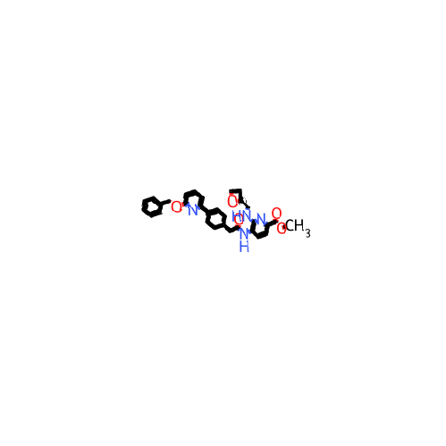 COC(=O)c1ccc(NC(=O)CC2CC=C(c3cccc(OCc4ccccc4)n3)CC2)c(NC[C@@H]2CCO2)n1